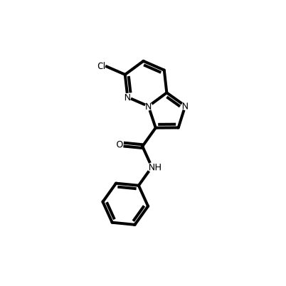 O=C(Nc1ccccc1)c1cnc2ccc(Cl)nn12